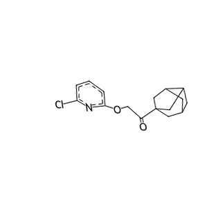 O=C(COc1cccc(Cl)n1)C12CC3CC(C1)C(C3)C2